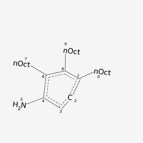 CCCCCCCCc1ccc(N)c(CCCCCCCC)c1CCCCCCCC